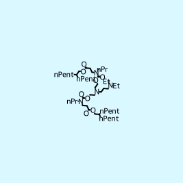 CCCCCC(CCCCC)COC(=O)CCN(CCC)C(=O)OCCN(CCCN(CC)CC)CCOC(=O)N(CCC)CCC(=O)OCC(CCCCC)CCCCC